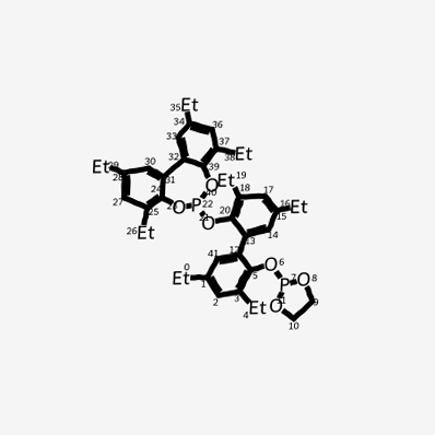 CCc1cc(CC)c(OP2OCCO2)c(-c2cc(CC)cc(CC)c2Op2oc3c(CC)cc(CC)cc3c3cc(CC)cc(CC)c3o2)c1